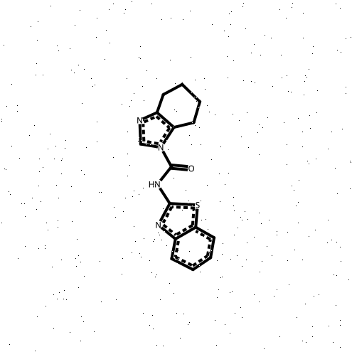 O=C(Nc1nc2ccccc2s1)n1cnc2c1CC[CH]C2